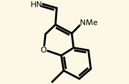 CNC1=C(C=N)COc2c(C)cccc21